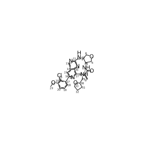 C=CC(=O)N[C@H]1COC[C@H]1Nc1ncc2cc(-c3cccc(OC)c3Cl)nc(NCC3CCCO3)c2n1